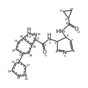 O=C(NC1C=NC=CC1NC(=O)C1CC1)c1n[nH]c2ccc(-c3cccnc3)cc12